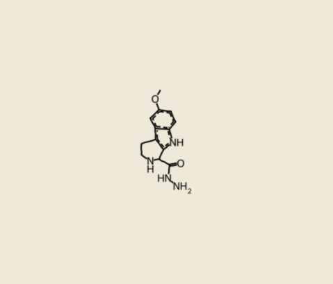 COc1ccc2[nH]c3c(c2c1)CCNC3C(=O)NN